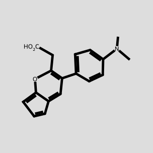 CN(C)c1ccc(-c2cc3cccc-3oc2CC(=O)O)cc1